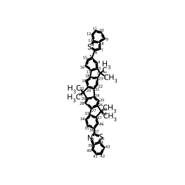 CC1(C)c2cc(-c3cc4ccccc4s3)ccc2-c2cc3c(cc21)-c1cc2c(cc1C3(C)C)-c1ccc(-c3nc4ccccc4s3)cc1C2(C)C